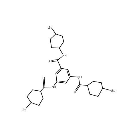 CC(C)(C)C1CCC(NC(=O)c2cc(NC(=O)C3CCC(C(C)(C)C)CC3)cc(NC(=O)C3CCC(C(C)(C)C)CC3)c2)CC1